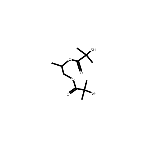 CC(COC(=O)C(C)(C)S)OC(=O)C(C)(C)S